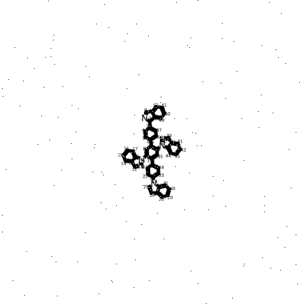 C1=NC(c2ccc(-c3cc(-n4ncc5ccccc54)c(-c4ccc(-n5ccc6ccccc65)cc4)cc3-n3ncc4ccccc43)cc2)c2ccccc21